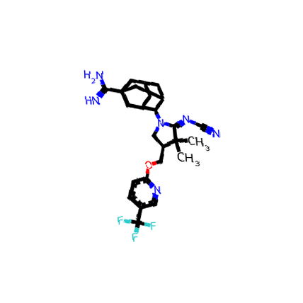 CC1(C)C(=NC#N)N(C2C3CC4CC2CC(C(=N)N)(C4)C3)CC1COc1ccc(C(F)(F)F)cn1